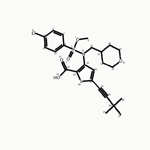 COP(=O)(c1ccc(Cl)cc1)N(CC1CCOCC1)c1cc(C#CC(C)(C)C)sc1C(=O)O